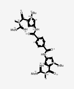 CCCCn1cc(NC(=O)c2ccc(C(=O)Nc3cc(C(=O)N(C)C(=N)NC)n(CCCC)c3)cc2)cc1C(=O)N(C)C(=N)NC